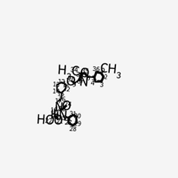 Cc1cccc(-c2nc(COC3CCCC(CCN(CC(=O)O)C(=O)Nc4ccccc4)C3)c(C)o2)c1